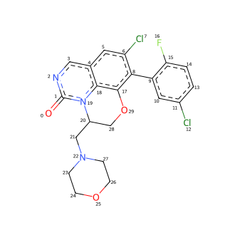 O=c1ncc2cc(Cl)c(-c3cc(Cl)ccc3F)c3c2n1C(CN1CCOCC1)CO3